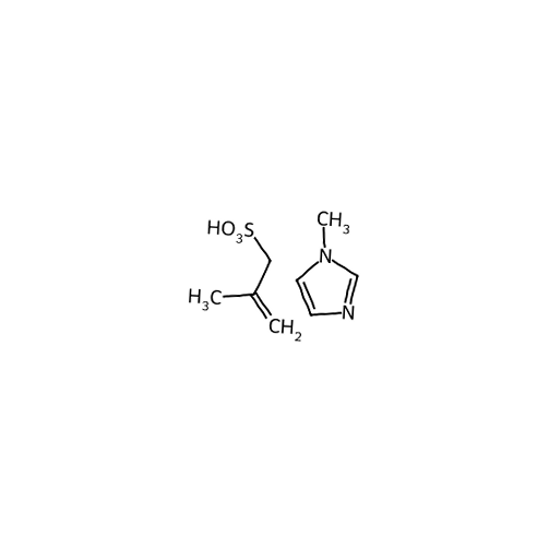 C=C(C)CS(=O)(=O)O.Cn1ccnc1